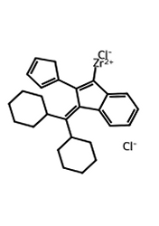 [Cl-].[Cl-].[Zr+2][C]1=C(C2=CC=CC2)C(=C(C2CCCCC2)C2CCCCC2)c2ccccc21